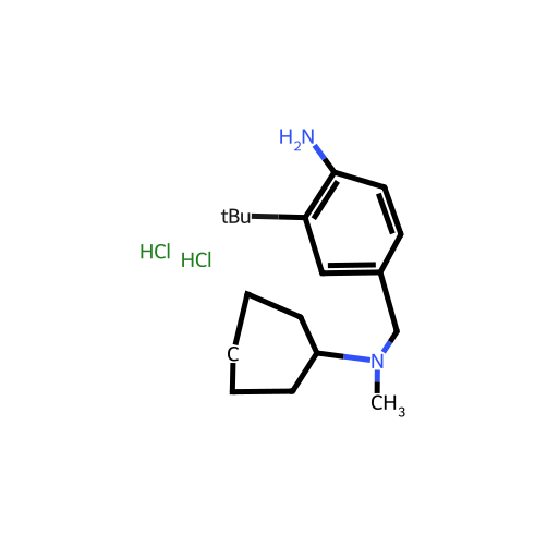 CN(Cc1ccc(N)c(C(C)(C)C)c1)C1CCCCC1.Cl.Cl